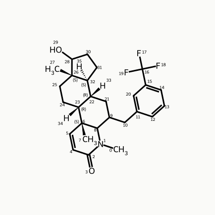 CN1C(=O)C=C[C@@]2(C)C1C(Cc1cccc(C(F)(F)F)c1)C[C@@H]1[C@H]2CC[C@]2(C)C(O)CC[C@@H]12